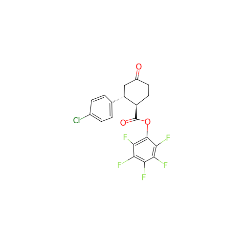 O=C1CC[C@@H](C(=O)Oc2c(F)c(F)c(F)c(F)c2F)[C@H](c2ccc(Cl)cc2)C1